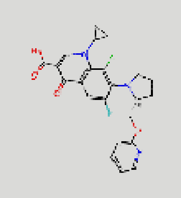 O=C(O)c1cn(C2CC2)c2c(Cl)c(N3CCC[C@@H]3COc3ccccn3)c(F)cc2c1=O